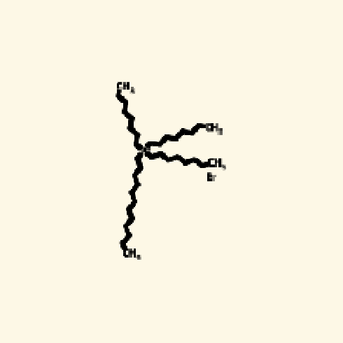 CCCCCCCCCCCC[P+](CCCCCCCC)(CCCCCCCC)CCCCCCCC.[Br-]